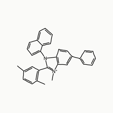 Cc1ccc(C)c(-c2n(-c3cccc4ccccc34)c3ccc(-c4ccccc4)cc3[n+]2C)c1